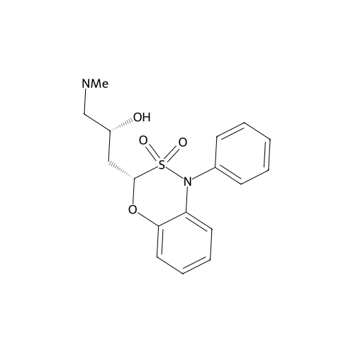 CNC[C@H](O)C[C@H]1Oc2ccccc2N(c2ccccc2)S1(=O)=O